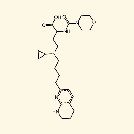 O=C(O)C(CCN(CCCCc1ccc2c(n1)NCCC2)C1CC1)NC(=O)N1CCOCC1